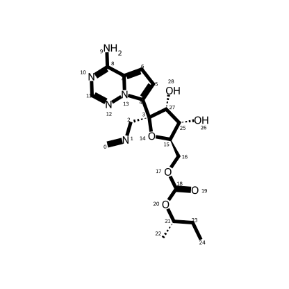 C=NC[C@@]1(c2ccc3c(N)ncnn23)O[C@H](COC(=O)O[C@@H](C)CC)[C@@H](O)[C@H]1O